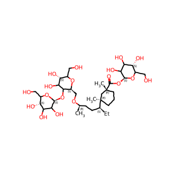 CC[C@@H](CC[C@@H](C)OC[C@@H]1OC(CO)[C@@H](O)C(O)C1O[C@@H]1OC(CO)[C@@H](O)C(O)C1O)[C@]1(C)CCC[C@@](C)(C(=O)O[C@@H]2OC(CO)[C@@H](O)C(O)C2O)C1